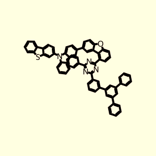 c1ccc(-c2cc(-c3ccccc3)cc(-c3cccc(-c4nc(-c5ccccc5)nc(-c5cccc6oc7ccc(-c8ccc9c(c8)c8ccccc8n9-c8ccc9c(c8)sc8ccccc89)cc7c56)n4)c3)c2)cc1